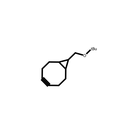 CC(C)(C)OCC1C2CCC#CCCC21